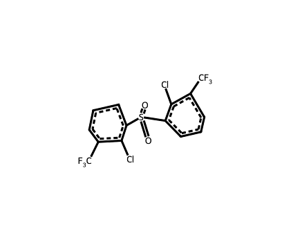 O=S(=O)(c1cccc(C(F)(F)F)c1Cl)c1cccc(C(F)(F)F)c1Cl